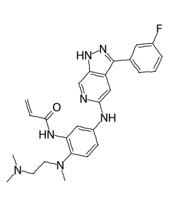 C=CC(=O)Nc1cc(Nc2cc3c(-c4cccc(F)c4)n[nH]c3cn2)ccc1N(C)CCN(C)C